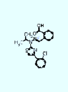 CC(C)N(/N=C/c1ccccc1C(=O)O)c1nc(-c2ccccc2Cl)cs1